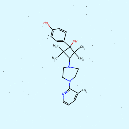 Cc1cccnc1N1CCN(C2C(C)(C)C(O)(c3ccc(O)cc3)C2(C)C)CC1